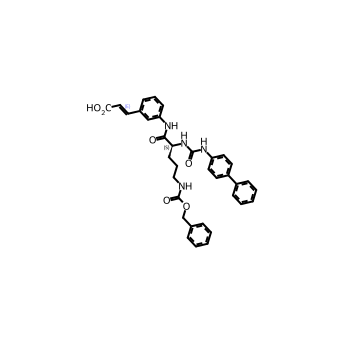 O=C(O)/C=C/c1cccc(NC(=O)[C@H](CCCNC(=O)OCc2ccccc2)NC(=O)Nc2ccc(-c3ccccc3)cc2)c1